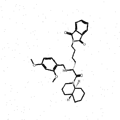 COc1ccc(CN[C@H](CCCCN2C(=O)c3ccccc3C2=O)C(=O)N2CCC[C@H]3CCCC[C@@H]32)c(OC)c1